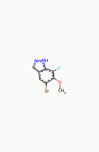 COc1c(Br)cc2cn[nH]c2c1F